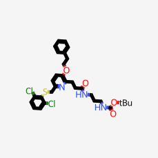 CC(C)(C)OC(=O)NCCCNC(=O)CCc1nc(CSc2c(Cl)cccc2Cl)ccc1OCCc1ccccc1